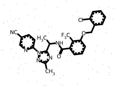 Cc1nc(C(C)NC(=O)c2cccc(OCc3ccccc3Cl)c2C(F)(F)F)n(-c2ccc(C#N)cn2)n1